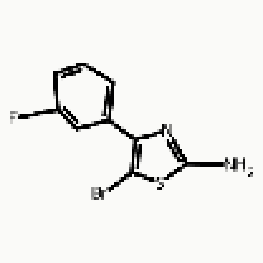 Nc1nc(-c2cccc(F)c2)c(Br)s1